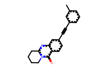 Cc1cccc(C#Cc2ccc3c(=O)n4c(nc3c2)CCCC4)c1